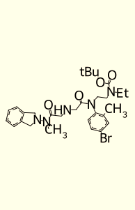 CCN(CCN(C(=O)CNCC(=O)N(C)N1Cc2ccccc2C1)c1ccc(Br)cc1C)C(=O)OC(C)(C)C